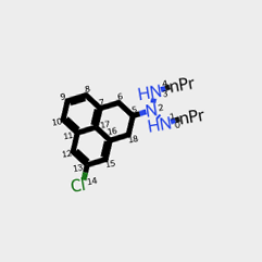 CCCNN(NCCC)C1Cc2cccc3cc(Cl)cc(c23)C1